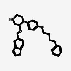 c1ccc(CCCCOc2ccc(C3CCNCC3OCc3ccc4sccc4c3)cc2)cc1